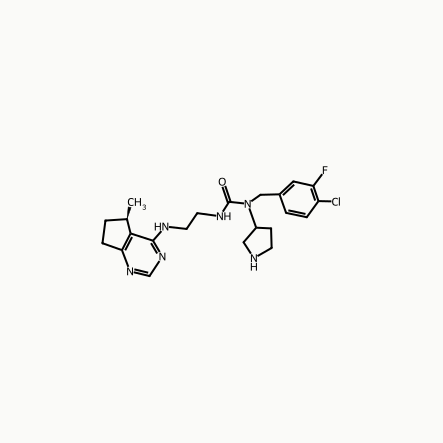 C[C@@H]1CCc2ncnc(NCCNC(=O)N(Cc3ccc(Cl)c(F)c3)C3CCNC3)c21